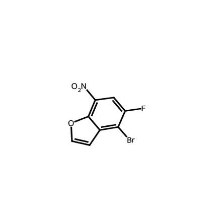 O=[N+]([O-])c1cc(F)c(Br)c2ccoc12